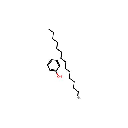 CCCCCCCCCCCCC[CH2][Na].Oc1ccccc1